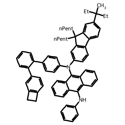 CCCCCC1(CCCCC)c2cc(N(c3ccc(-c4ccccc4-c4ccc5c(c4)CC5)cc3)c3c4ccccc4c(Nc4ccccc4)c4ccccc34)ccc2-c2ccc(C(C)(CC)CC)cc21